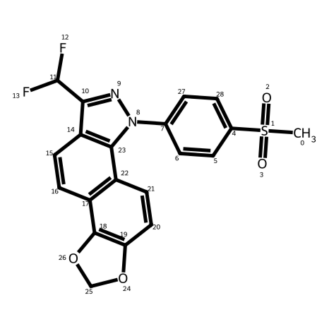 CS(=O)(=O)c1ccc(-n2nc(C(F)F)c3ccc4c5c(ccc4c32)OCO5)cc1